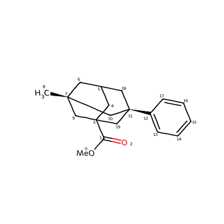 COC(=O)C12CC3C[C@@](C)(C1)C[C@](c1ccccc1)(C3)C2